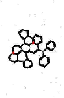 c1ccc(-c2ccccc2-c2c3ccccc3c(-c3ccccc3-c3ccccc3)c3cc(N(c4ccccc4)c4ccccc4)ccc23)cc1